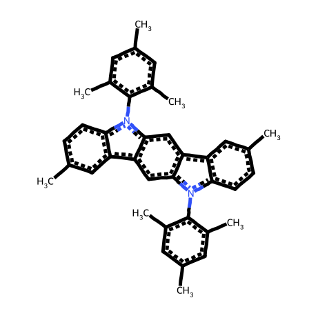 Cc1cc(C)c(-n2c3ccc(C)cc3c3cc4c(cc32)c2cc(C)ccc2n4-c2c(C)cc(C)cc2C)c(C)c1